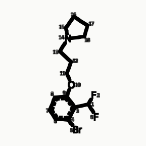 FC(F)c1c(Br)cccc1OCCCN1CCCC1